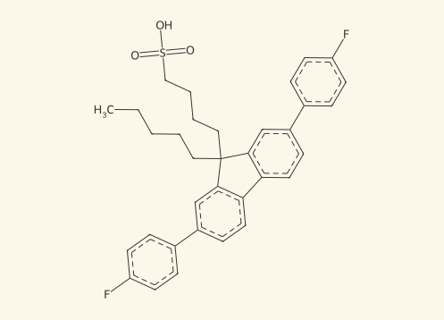 CCCCCC1(CCCCS(=O)(=O)O)c2cc(-c3ccc(F)cc3)ccc2-c2ccc(-c3ccc(F)cc3)cc21